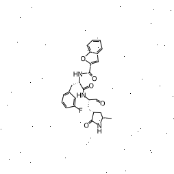 CC1C[C@@H](C[C@@H](C=O)NC(=O)[C@H](Cc2cccc(F)c2)NC(=O)c2cc3ccccc3o2)C(=O)N1